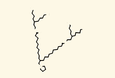 CCCCCC(CCCCC)CCOC(=O)CCCCCCCCCC(CCCCCCCCCC(=O)OCCC(CCCCC)CCCCC)CN1CCCC1